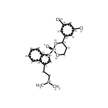 CN(C)CCc1cn(P2(=O)OCCC(c3cc(Cl)cc(Cl)c3)O2)c2ccccc12